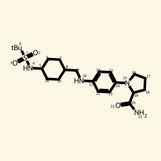 CC(C)(C)S(=O)(=O)NC1CCC(CNc2ccc(N3CCCC3C(N)=O)cc2)CC1